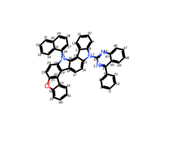 c1ccc(-c2nc(-n3c4ccccc4c4c3ccc3c5c6c(ccc5n(-c5cccc7ccccc57)c34)oc3ccccc36)nc3ccccc23)cc1